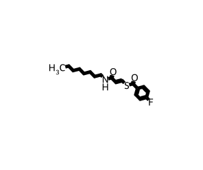 CCCCCCCCNC(=O)C=CSC(=O)c1ccc(F)cc1